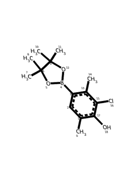 Cc1cc(B2OC(C)(C)C(C)(C)O2)c(C)c(Cl)c1O